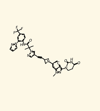 Cn1nc(N2CCC(=O)NC2=O)c2ccc(N3CC(C#Cc4cnn(C(C)(C)C(=O)Nc5ccc(C(F)(F)F)cc5-n5cccn5)c4)C3)cc21